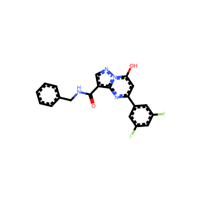 O=C(NCc1ccccc1)c1cnn2c(O)cc(-c3cc(F)cc(F)c3)nc12